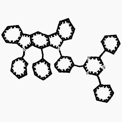 c1ccc(-c2nc(-c3ccccc3)pc(-c3cccc(-n4c5ccccc5c5cc6c7ccccc7n(-c7ccccc7)c6c(-c6ccccc6)c54)c3)n2)cc1